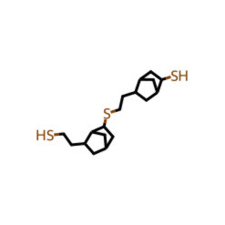 SCCC1CC2CC(SCCC3CC4CC3CC4S)C1C2